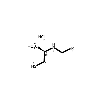 CC(C)CN[C@@H](CS)C(=O)O.Cl